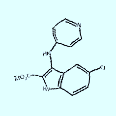 CCOC(=O)c1[nH]c2ccc(Cl)cc2c1Nc1ccncc1